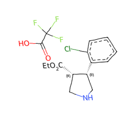 CCOC(=O)[C@H]1CNC[C@H]1c1ccccc1Cl.O=C(O)C(F)(F)F